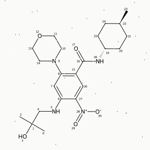 CC(C)(O)CNc1cc(N2CCOCC2)c(C(=O)N[C@H]2CC[C@H](C)CC2)cc1[N+](=O)[O-]